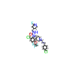 O=C(NCc1ccnc(F)c1)N1CC2(CCN(C/C=C/c3ccc(Cl)cc3)CC2)c2c(OC(F)(F)F)ccc(Cl)c21